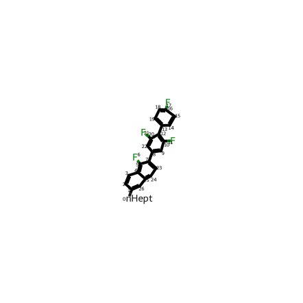 CCCCCCCc1ccc2c(F)c(-c3cc(F)c(-c4ccc(F)cc4)c(F)c3)ccc2c1